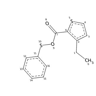 CCc1ccsc1C(=O)OSc1ccccc1